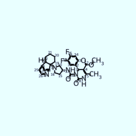 COC(=O)C1=C(C)NC(=O)N(C(=O)N[C@@H]2CCN([C@]34CCCC[C@@H]3c3ccnc4c3)C2)[C@H]1c1ccc(F)c(F)c1